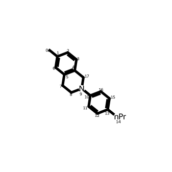 [CH2]c1ccc2c(c1)CCN(c1ccc(CCC)cc1)C2